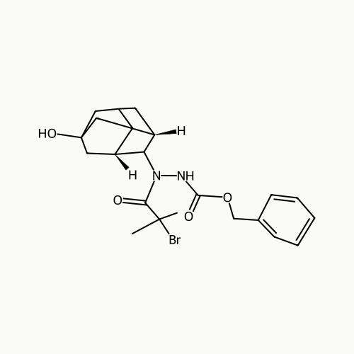 CC(C)(Br)C(=O)N(NC(=O)OCc1ccccc1)C1[C@H]2CC3C[C@H]1CC(O)(C3)C2